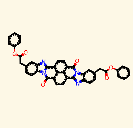 O=C(Cc1ccc2c(c1)nc1c3ccc4c(=O)n5c6cc(CC(=O)Oc7ccccc7)ccc6nc5c5ccc(c(=O)n21)c3c45)Oc1ccccc1